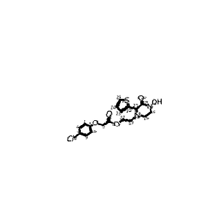 O=C(COc1ccc(Cl)cc1)OCCN1CCN(O)C(=O)C1c1cccs1